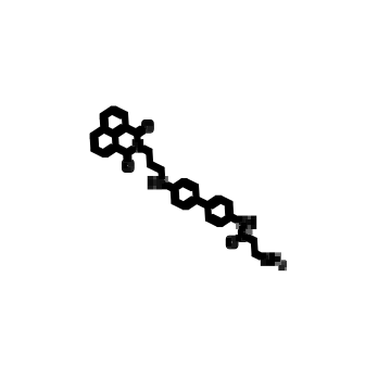 NCC[S+]([O-])Nc1ccc(-c2ccc(NCCCN3C(=O)c4cccc5cccc(c45)C3=O)cc2)cc1